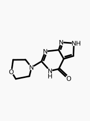 O=c1[nH]c(N2CCOCC2)nc2n[nH]cc12